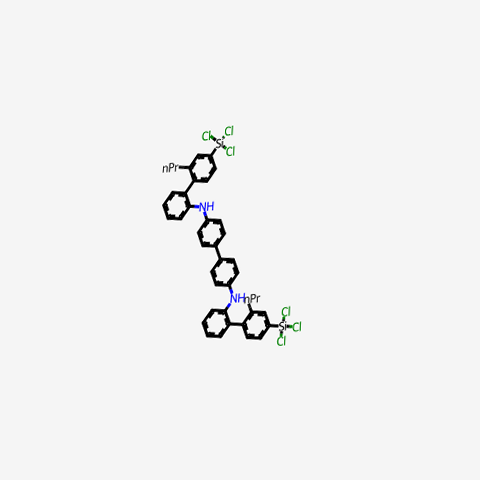 CCCc1cc([Si](Cl)(Cl)Cl)ccc1-c1ccccc1Nc1ccc(-c2ccc(Nc3ccccc3-c3ccc([Si](Cl)(Cl)Cl)cc3CCC)cc2)cc1